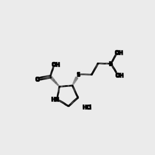 Cl.O=C(O)[C@H]1NCC[C@H]1SCCB(O)O